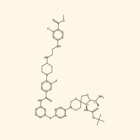 COC(=O)c1ccc(NCCNC2CCN(c3ccc(C(=O)Nc4cccc(Sc5cnc(N6CCC7(COC([C@H](C)[SiH3])[C@H]7NC(=O)OC(C)(C)C)SC6)cn5)c4)cc3F)CC2)cc1F